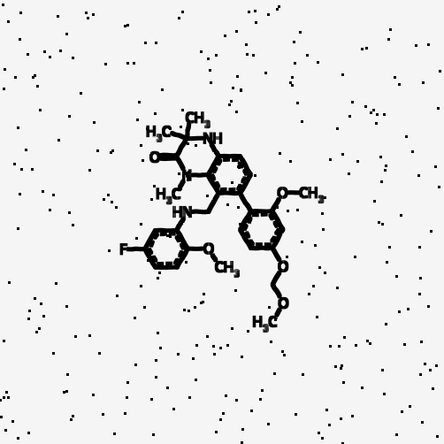 COCOc1ccc(-c2ccc3c(c2CNc2cc(F)ccc2OC)N(C)C(=O)C(C)(C)N3)c(OC)c1